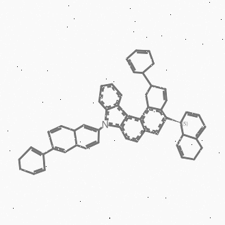 C1=CCC(C2C=Cc3c([C@H]4C=CC=C5CCC=CC54)cc4ccc5c(c6ccccc6n5C5=CC6C=CC(C7=CCCC=C7)=CC6C=C5)c4c3C2)C=C1